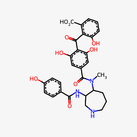 CN(C(=O)c1cc(O)c(C(=O)c2c(O)cccc2C(=O)O)c(O)c1)C1CCCNCC1NC(=O)c1ccc(O)cc1